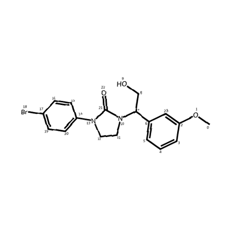 COc1cccc(C(CO)N2CCN(c3ccc(Br)cc3)C2=O)c1